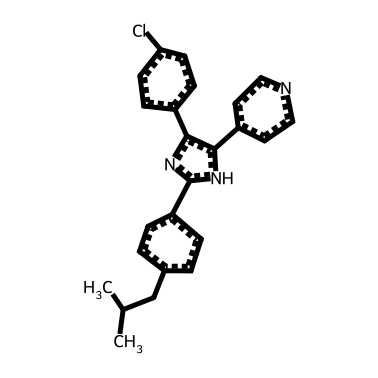 CC(C)Cc1ccc(-c2nc(-c3ccc(Cl)cc3)c(-c3ccncc3)[nH]2)cc1